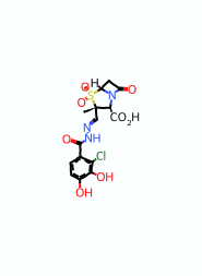 C[C@]1(/C=N/NC(=O)c2ccc(O)c(O)c2Cl)[C@H](C(=O)O)N2C(=O)C[C@H]2S1(=O)=O